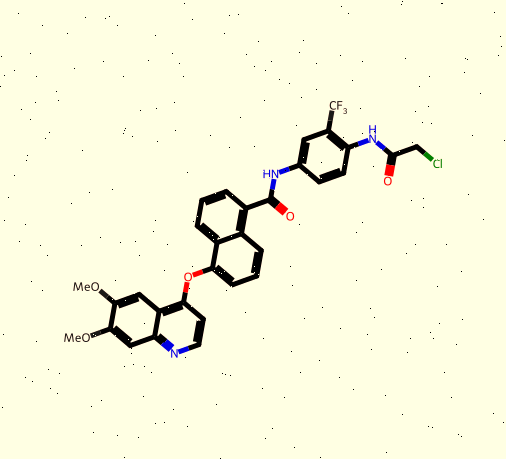 COc1cc2nccc(Oc3cccc4c(C(=O)Nc5ccc(NC(=O)CCl)c(C(F)(F)F)c5)cccc34)c2cc1OC